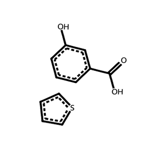 O=C(O)c1cccc(O)c1.c1ccsc1